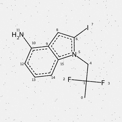 CC(F)(F)Cn1c(I)cc2c(N)cccc21